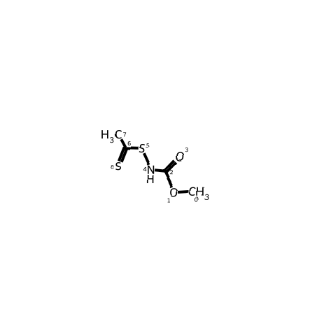 COC(=O)NSC(C)=S